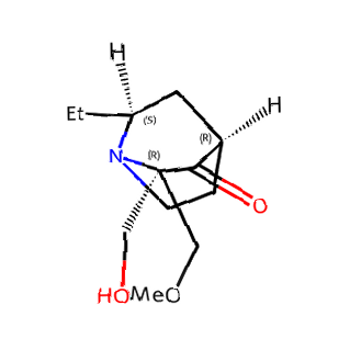 CC[C@H]1C[C@H]2CCN1[C@](CO)(COC)C2=O